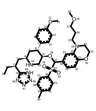 CC[C@@H](C[C@H]1C[C@H](c2ccc(OC)cc2)[C@@H](OC(c2ccc3c(c2)N(CCCOC)CCO3)S(=O)(=O)c2ccc(C)cc2)CN1)c1nnn[nH]1